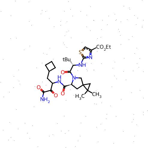 CCOC(=O)c1csc(N[C@H](C(=O)N2CC3(C[C@H]2C(=O)NC(CC2CCC2)C(=O)C(N)=O)CC3(C)C)C(C)(C)C)n1